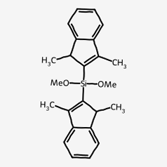 CO[Si](OC)(C1=C(C)c2ccccc2C1C)C1=C(C)c2ccccc2C1C